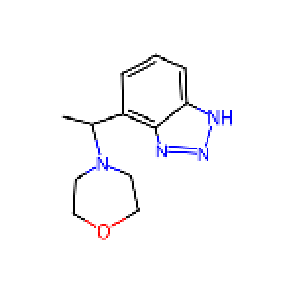 CC(c1cccc2[nH]nnc12)N1CCOCC1